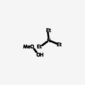 CCN(CC)CC.COO